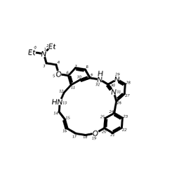 CCN(CC)CCOc1ccc2cc1CNC/C=C/CCOc1cccc(c1)-c1ccnc(n1)N2